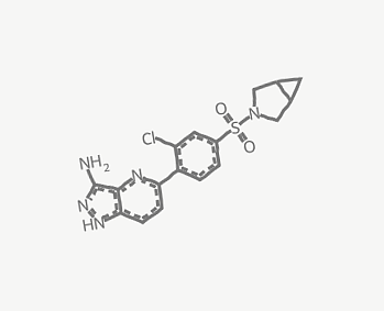 Nc1n[nH]c2ccc(-c3ccc(S(=O)(=O)N4CC5CC5C4)cc3Cl)nc12